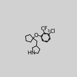 FC(F)(F)c1c(Cl)cccc1OC1(CC2CCNC2)CCCC1